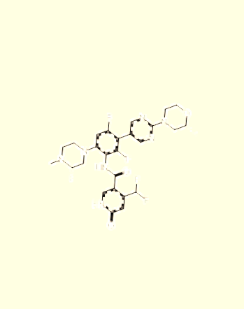 C[C@@H]1CN(c2ncc(-c3c(F)cc(N4CCN(C)[C@@H](C)C4)c(NC(=O)c4c[nH]c(=O)cc4C(F)F)c3F)cn2)CCO1